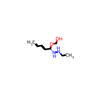 C=C/C=C/[C@@H](NNCC)OCO